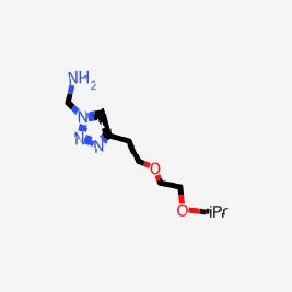 CC(C)OCCOCCc1cn(CN)nn1